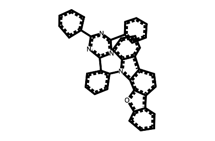 c1ccc(-c2nc(-c3ccccc3)nc(-c3ccccc3-n3c4ccccc4c4ccc5c6ccccc6oc5c43)n2)cc1